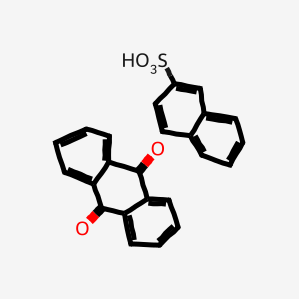 O=C1c2ccccc2C(=O)c2ccccc21.O=S(=O)(O)c1ccc2ccccc2c1